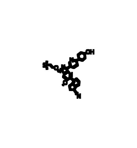 COc1cc2c(nc1-c1cccc3c1CCC3C#N)c(-c1ccc(C3=CCC(O)CC3)nc1)nn2COCC[Si](C)(C)C